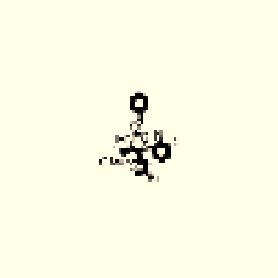 COC(=O)[C@@H](NC(=O)OCc1ccccc1)C(Sc1ccccc1N)c1cc(Br)cs1